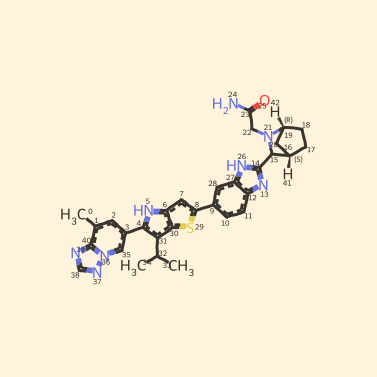 Cc1cc(-c2[nH]c3cc(-c4ccc5nc(C6[C@H]7CC[C@H](C7)N6CC(N)=O)[nH]c5c4)sc3c2C(C)C)cn2ncnc12